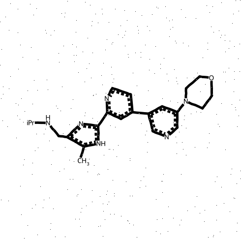 Cc1[nH]c(-c2cc(-c3cncc(N4CCOCC4)c3)ccn2)nc1CNC(C)C